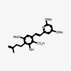 C=C(C)CCc1c(OC)cc(C=Cc2cc(OC)cc(OC)n2)c(C(=O)O)c1O